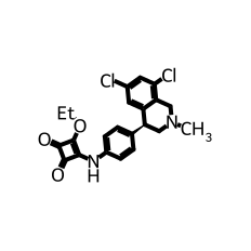 CCOc1c(Nc2ccc([C@@H]3CN(C)Cc4c(Cl)cc(Cl)cc43)cc2)c(=O)c1=O